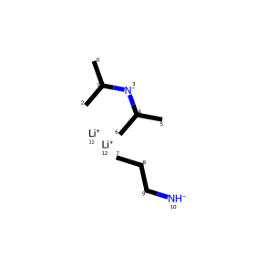 CC(C)[N-]C(C)C.CCC[NH-].[Li+].[Li+]